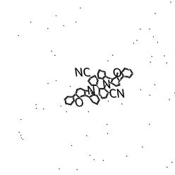 N#Cc1ccc(-c2cccc(C#N)c2-n2c3ccccc3c3c4oc5ccccc5c4ccc32)c(-n2c3ccccc3c3c4oc5ccccc5c4ccc32)c1